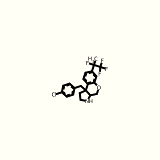 CC(F)(c1ccc2c(c1)OCC1NCCC21Cc1ccc(Cl)cc1)C(F)(F)F